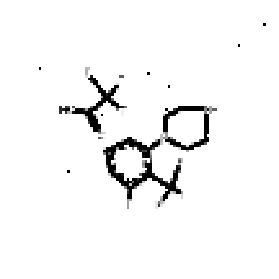 Fc1cccc(N2CCNCC2)c1C(F)(F)F.O=C(O)C(F)(F)F